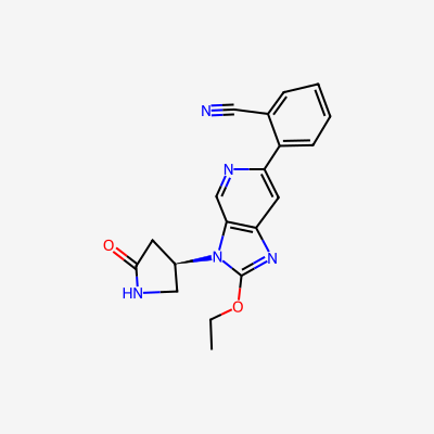 CCOc1nc2cc(-c3ccccc3C#N)ncc2n1[C@H]1CNC(=O)C1